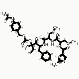 COCC(NC(=O)c1cnc(C)s1)C(=O)NC(COC)C(=O)NC(Cc1ccccc1)C(=O)C(C)(CI)OC(=O)OCc1ccc(OC(C)=O)cc1